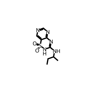 CCC(C)NC1=Nc2ncncc2S(=O)(=O)N1